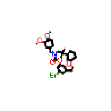 COc1ccc(CN(CC(C)(C)c2ccccc2)C(=O)Oc2cc(Br)cc3c2OCC3)cc1OC